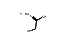 N.O=C(O)CO.[Ni]